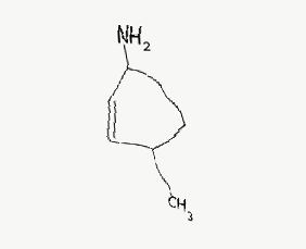 CC1C=CC(N)CC1